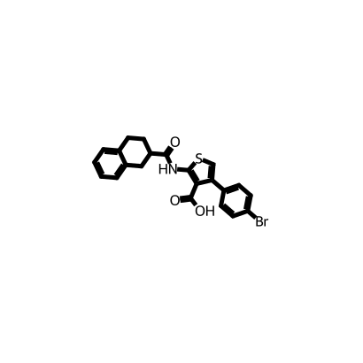 O=C(O)c1c(-c2ccc(Br)cc2)csc1NC(=O)C1CCc2ccccc2C1